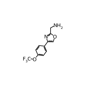 NCc1nc(-c2ccc(OC(F)(F)F)cc2)co1